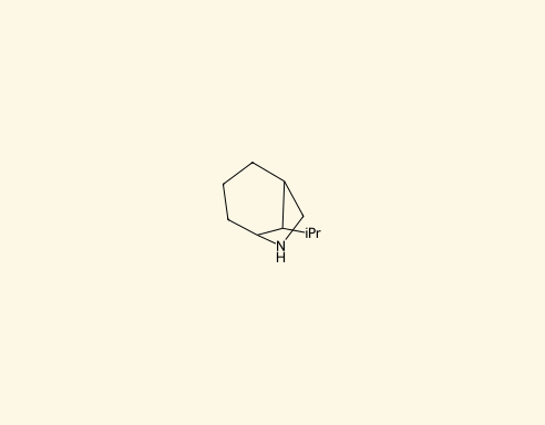 CC(C)C1C2CCCC1NC2